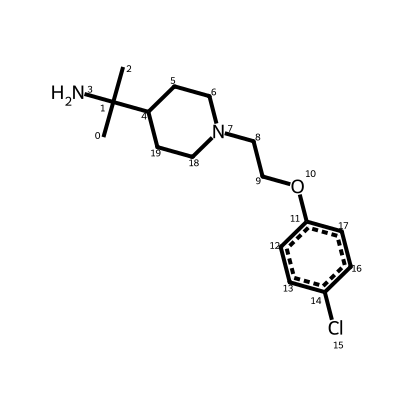 CC(C)(N)C1CCN(CCOc2ccc(Cl)cc2)CC1